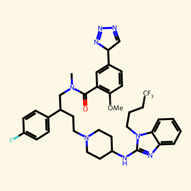 COc1ccc(C2C=NN=N2)cc1C(=O)N(C)CC(CCN1CCC(Nc2nc3ccccc3n2CCCC(F)(F)F)CC1)c1ccc(F)cc1